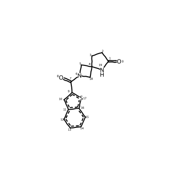 O=C1CCC2(CN(C(=O)c3cc4ccccc4s3)C2)N1